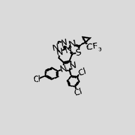 FC(F)(F)C1(c2nnc(-c3nc(-c4ccc(Cl)cc4Cl)n(-c4ccc(Cl)cc4)c3Cn3cncn3)s2)CC1